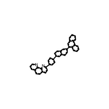 c1ccc2c(c1)cc(-c1ccc3cc(-c4ccc(-c5ccc6ccc7cccnc7c6n5)cc4)ccc3c1)c1ccccc12